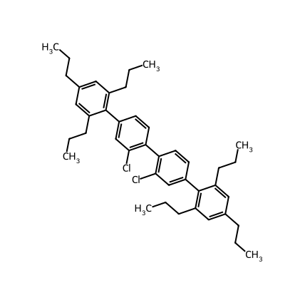 CCCc1cc(CCC)c(-c2ccc(-c3ccc(-c4c(CCC)cc(CCC)cc4CCC)cc3Cl)c(Cl)c2)c(CCC)c1